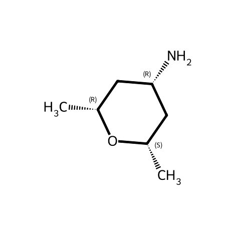 C[C@@H]1C[C@H](N)C[C@H](C)O1